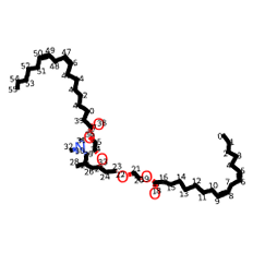 CCCCC/C=C\C/C=C\CCCCCCCC(=O)OCCOCCC(CC(C)CN(C)C)OCCOC(=O)CCCCCCC/C=C\C/C=C\CCCCC